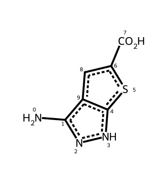 Nc1n[nH]c2sc(C(=O)O)cc12